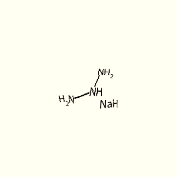 NNN.[NaH]